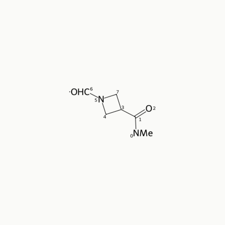 CNC(=O)C1CN([C]=O)C1